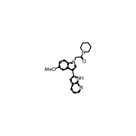 COc1ccc2c(c1)c(-c1cc3cccnc3[nH]1)cn2CC(=O)N1CCCCC1